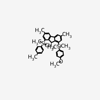 COc1ccc([Si](C)(C)c2cc(C)cc3c2Cc2c-3cc(C)cc2[Si](C)(C)c2ccc(C)cc2)cc1